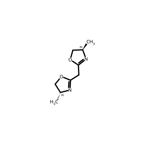 C[C@@H]1COC(CC2=N[C@H](C)CO2)=N1